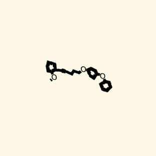 COc1ccccc1C#CCCCOc1ccc(Oc2ccccc2)cc1